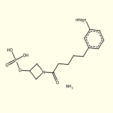 CCCCCCCc1cccc(CCCCC(=O)N2CC(OP(=O)(O)O)C2)c1.N